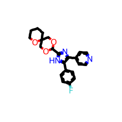 Fc1ccc(-c2[nH]c(C3OCC4(CCCCO4)CO3)nc2-c2ccncc2)cc1